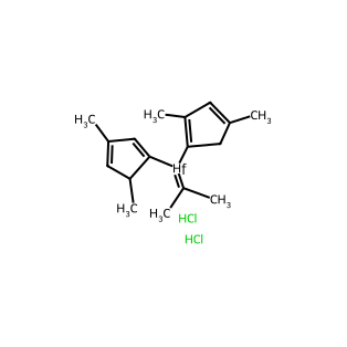 CC1=CC(C)[C]([Hf]([C]2=C(C)C=C(C)C2)=[C](C)C)=C1.Cl.Cl